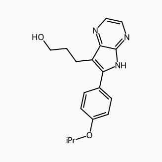 CC(C)Oc1ccc(-c2[nH]c3nccnc3c2CCCO)cc1